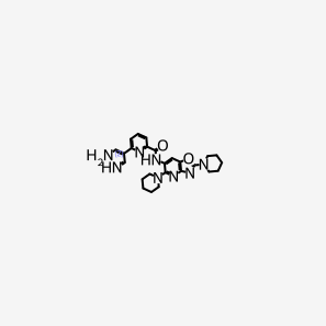 N=C/C(=C\N)c1cccc(C(=O)Nc2cc3oc(N4CCCCC4)nc3nc2N2CCCCC2)n1